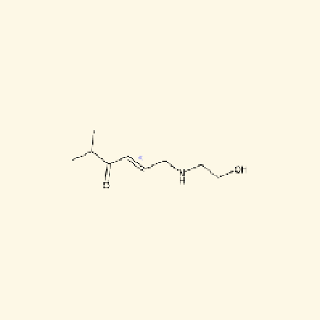 CC(C)C(=O)/C=C/CNCCO